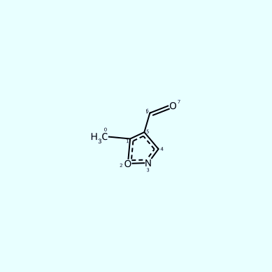 Cc1oncc1[C]=O